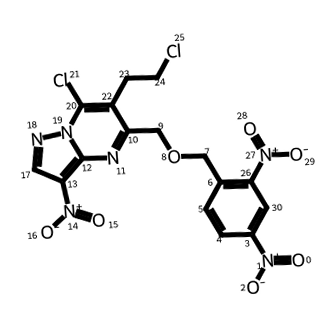 O=[N+]([O-])c1ccc(COCc2nc3c([N+](=O)[O-])cnn3c(Cl)c2CCCl)c([N+](=O)[O-])c1